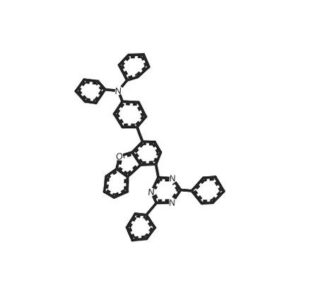 c1ccc(-c2nc(-c3ccccc3)nc(-c3ccc(-c4ccc(N(c5ccccc5)c5ccccc5)cc4)c4oc5ccccc5c34)n2)cc1